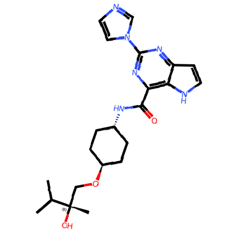 CC(C)[C@@](C)(O)CO[C@H]1CC[C@H](NC(=O)c2nc(-n3ccnc3)nc3cc[nH]c23)CC1